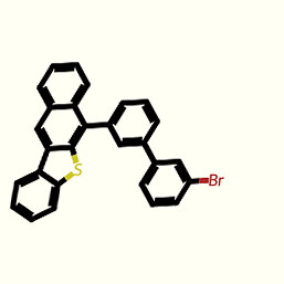 Brc1cccc(-c2cccc(-c3c4ccccc4cc4c3sc3ccccc34)c2)c1